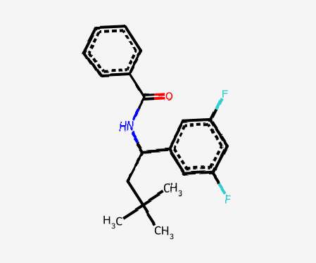 CC(C)(C)CC(NC(=O)c1ccccc1)c1cc(F)cc(F)c1